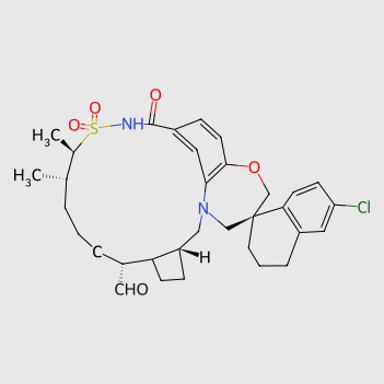 C[C@@H]1[C@@H](C)CCC[C@@H](C=O)C2CC[C@H]2CN2C[C@@]3(CCCc4cc(Cl)ccc43)COc3ccc(cc32)C(=O)NS1(=O)=O